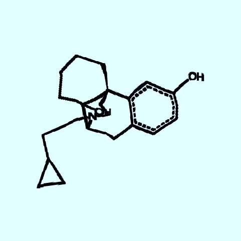 Oc1ccc2c(c1)[C@@]13CCCCC1(O)C(C2)N(CC1CC1)CC3